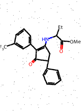 CCC(NC1=C(c2cccc(C(F)(F)F)c2)C(=O)C(c2ccccc2)C1)C(=O)OC